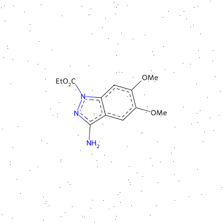 CCOC(=O)n1nc(N)c2cc(OC)c(OC)cc21